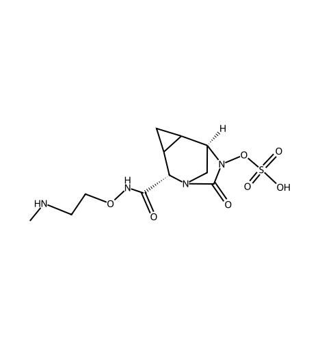 CNCCONC(=O)[C@@H]1C2CC2[C@@H]2CN1C(=O)N2OS(=O)(=O)O